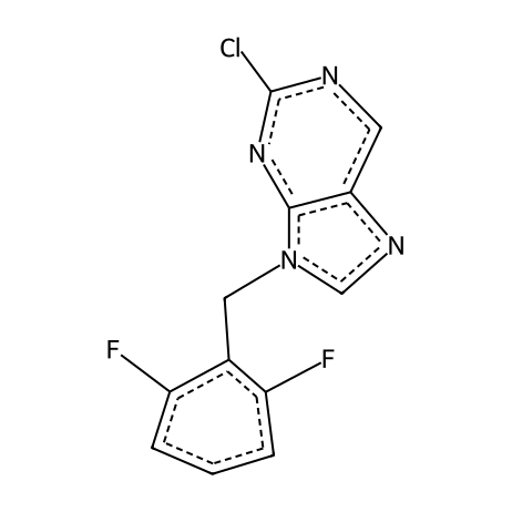 Fc1cccc(F)c1Cn1cnc2cnc(Cl)nc21